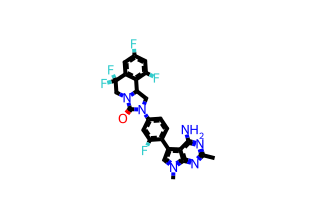 Cc1nc(N)c2c(-c3ccc(N4CC5c6c(F)cc(F)cc6C(F)(F)CN5C4=O)cc3F)cn(C)c2n1